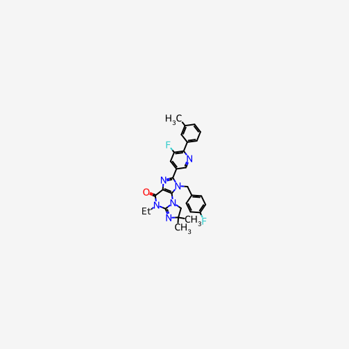 CCN1C(=O)c2nc(-c3cnc(-c4cccc(C)c4)c(F)c3)n(Cc3ccc(F)cc3)c2N2CC(C)(C)N=C12